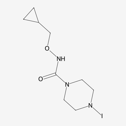 O=C(NOCC1CC1)N1CCN(I)CC1